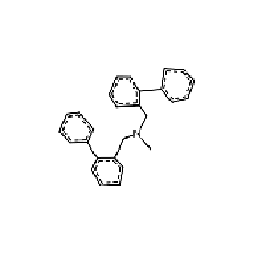 CN(Cc1ccccc1-c1ccccc1)Cc1ccccc1-c1ccccc1